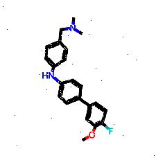 COc1cc(-c2ccc(Nc3ccc(CN(C)C)cc3)cc2)ccc1F